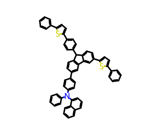 c1ccc(-c2ccc(-c3ccc(C4c5ccc(-c6ccc(N(c7ccccc7)c7cccc8ccccc78)cc6)cc5-c5cc(-c6ccc(-c7ccccc7)s6)ccc54)cc3)s2)cc1